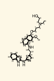 CCN(CCO)CCCOc1cc2ncnc(NCCc3cnc(Nc4nc5ccccc5[nH]4)s3)c2cc1OC